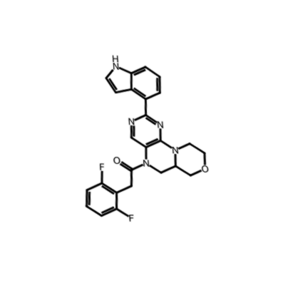 O=C(Cc1c(F)cccc1F)N1CC2COCCN2c2nc(-c3cccc4[nH]ccc34)ncc21